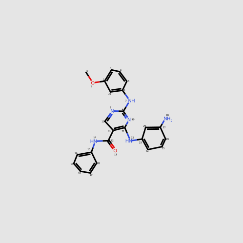 COc1cccc(Nc2ncc(C(=O)Nc3ccccc3)c(Nc3cccc(N)c3)n2)c1